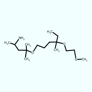 CCC(C)(CCCOC(C)(C)CC(C)N)OCCOC